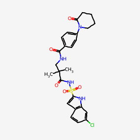 CC(C)(CNC(=O)c1ccc(N2CCCCC2=O)cc1)C(=O)NS(=O)(=O)c1cc2ccc(Cl)cc2[nH]1